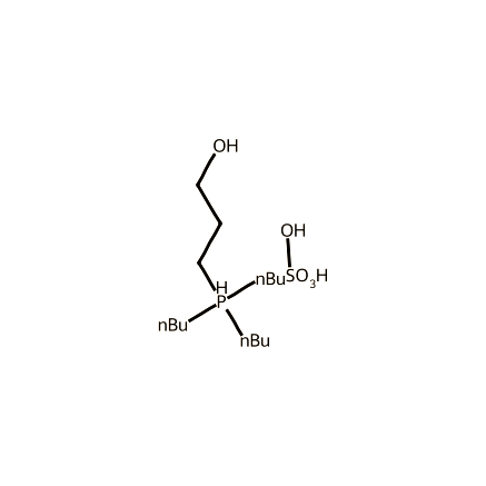 CCCC[PH](CCCC)(CCCC)CCCO.O=S(=O)(O)O